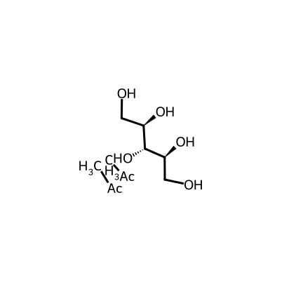 CC(C)=O.CC(C)=O.OC[C@@H](O)[C@@H](O)[C@@H](O)CO